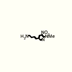 CNc1ncc(C=CCCN)cc1[N+](=O)[O-]